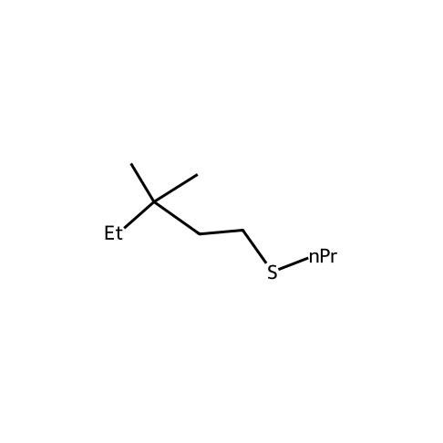 CCCSCCC(C)(C)CC